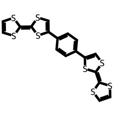 C1=CSC(=C2SC=C(c3ccc(C4=CSC(=C5SC=CS5)S4)cc3)S2)S1